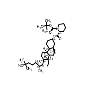 C[C@H](CCCC(C)(C)O)[C@H]1CC[C@H]2[C@@H]3CC=C4C[C@@H](OC(=O)[C@@H]5CCCCN5C(=O)OC(C)(C)C)CC[C@]4(C)[C@H]3CC[C@]12C